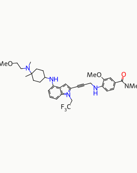 CNC(=O)c1ccc(NCC#Cc2cc3c(NC4CCC(C)(N(C)CCOC)CC4)cccc3n2CC(F)(F)F)c(OC)c1